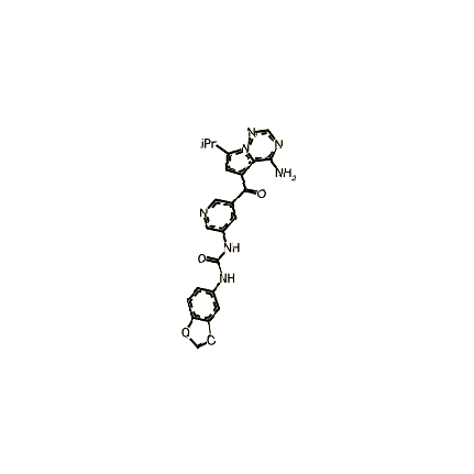 CC(C)c1cc(C(=O)c2cncc(NC(=O)Nc3ccc4c(c3)OCO4)c2)c2c(N)ncnn12